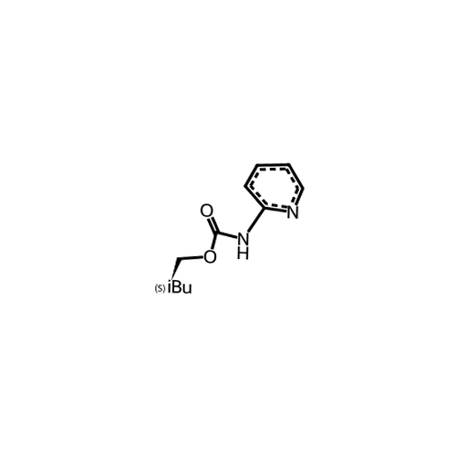 CC[C@H](C)COC(=O)Nc1ccccn1